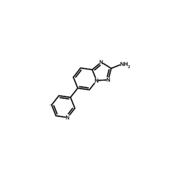 Nc1nc2ccc(-c3c[c]cnc3)cn2n1